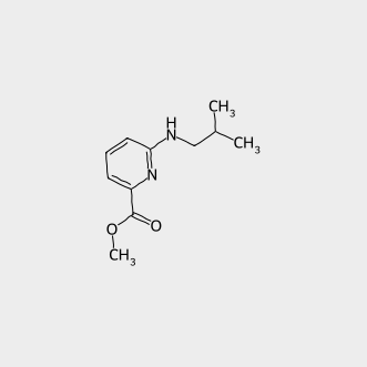 COC(=O)c1cccc(NCC(C)C)n1